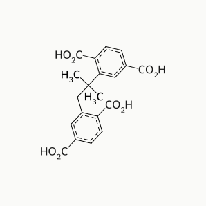 CC(C)(Cc1cc(C(=O)O)ccc1C(=O)O)c1cc(C(=O)O)ccc1C(=O)O